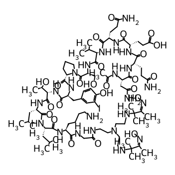 CC(=O)N[C@@H](CC(N)=O)C(=O)N[C@@H](CCC(N)=O)C(=O)N[C@@H](CCC(=O)O)C(=O)N[C@@H](CCC(N)=O)C(=O)N[C@H](C(=O)N[C@@H](CO)C(=O)N1CCC[C@H]1C(=O)N[C@@H](Cc1ccc(O)c(I)c1)C(=O)N[C@H](C(=O)N[C@@H](CC(C)C)C(=O)N[C@@H](CC(C)C)C(=O)N[C@@H](CCCCN)C(=O)NCC(=O)NCCN(CCNC(C)(C)/C(C)=N\O)CCNC(C)(C)/C(C)=N\O)[C@@H](C)O)C(C)C